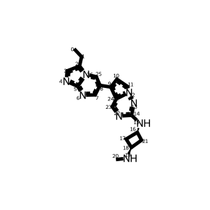 CCc1cnc2ncc(-c3ccn4nc(N[C@H]5C[C@H](NC)C5)ncc34)cn12